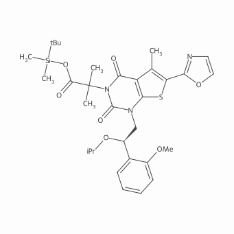 COc1ccccc1[C@H](Cn1c(=O)n(C(C)(C)C(=O)O[Si](C)(C)C(C)(C)C)c(=O)c2c(C)c(-c3ncco3)sc21)OC(C)C